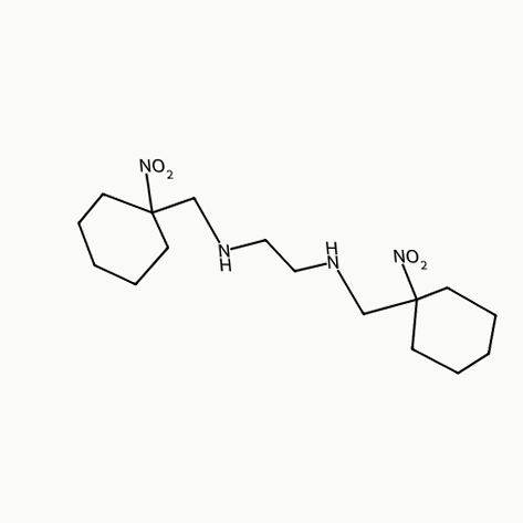 O=[N+]([O-])C1(CNCCNCC2([N+](=O)[O-])CCCCC2)CCCCC1